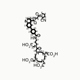 N#CC1CCCN1C(=O)CNC(=O)c1ccnc2ccc(-c3ccc(C(=O)NCCCN(CC(=O)O)C(=O)CN4CCN(CC(=O)O)CCN(CC(=O)O)CCN(CC(=O)O)CC4)cc3)cc12